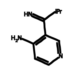 CC(C)C(=N)c1cnccc1N